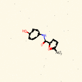 O=C(Nc1ccc(O)cc1)c1ccc([N+](=O)[O-])o1